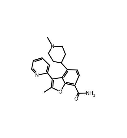 Cc1oc2c(C(N)=O)ccc(C3CCN(C)CC3)c2c1-c1ccccn1